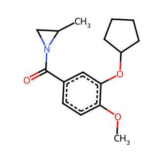 COc1ccc(C(=O)N2CC2C)cc1OC1CCCC1